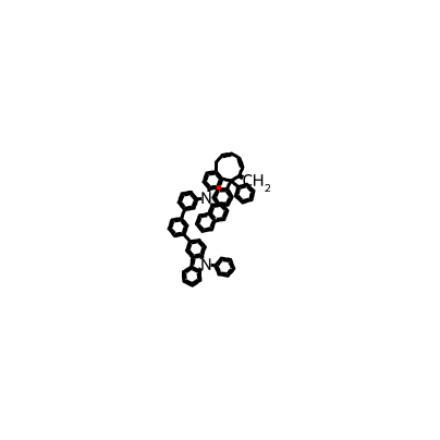 C=C1/C=C\C=C/Cc2ccc(N(c3cccc(-c4cccc(-c5ccc6c(c5)c5ccccc5n6-c5ccccc5)c4)c3)c3cccc4ccccc34)cc2C1(c1ccccc1)c1ccccc1